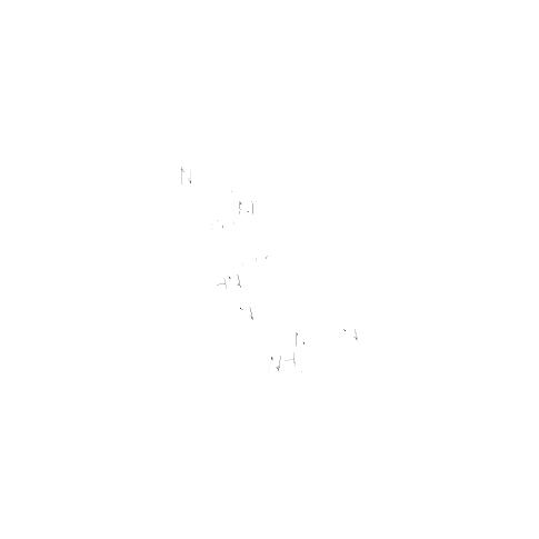 Cc1ccncc1-c1cc2cc(NC(=O)/C=C/C(=O)NC3(CC#N)CC3)ncc2c(N)n1